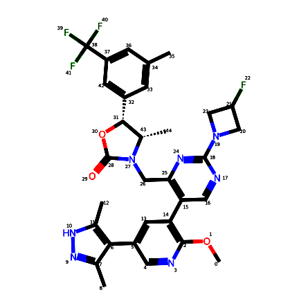 COc1ncc(-c2c(C)n[nH]c2C)cc1-c1cnc(N2CC(F)C2)nc1CN1C(=O)O[C@H](c2cc(C)cc(C(F)(F)F)c2)[C@@H]1C